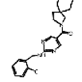 O=C(c1cnc(NCc2ccccc2Cl)nc1)N1CCC2(CCOCC2)C1